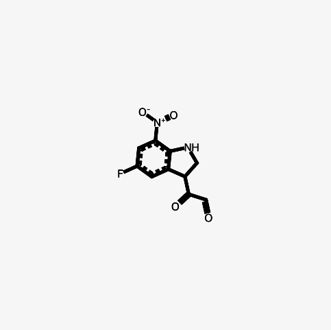 O=CC(=O)C1CNc2c1cc(F)cc2[N+](=O)[O-]